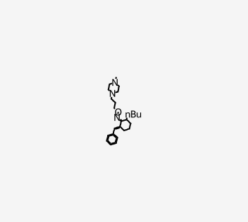 CCCCC1CCCC(=C\c2ccccc2)/C1=N/OCCCN1CCN(C)CC1